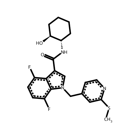 CSc1cc(Cn2cc(C(=O)N[C@H]3CCCC[C@@H]3O)c3c(F)ccc(F)c32)ccn1